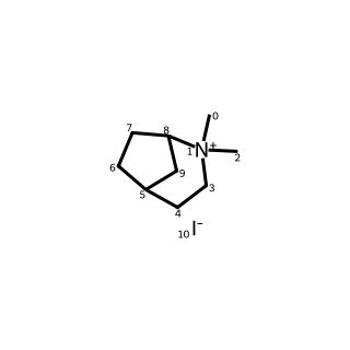 C[N+]1(C)CCC2CCC1C2.[I-]